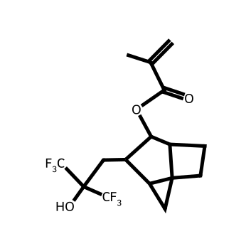 C=C(C)C(=O)OC1C(CC(O)(C(F)(F)F)C(F)(F)F)C2CC23CCC13